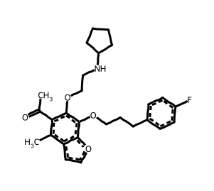 CC(=O)c1c(OCCNC2CCCC2)c(OCCCc2ccc(F)cc2)c2occc2c1C